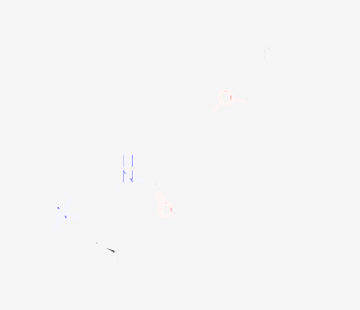 O=C(N[C@@H]1C[C@@H]2CCN(C2)C1)c1ccc(Oc2ccccc2Cl)cc1